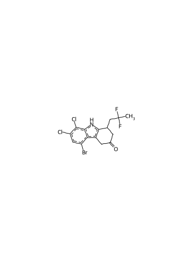 CC(F)(F)CC1CC(=O)Cc2c1[nH]c1c(Cl)c(Cl)cc(Br)c21